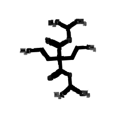 CCCC(CCC)(C(=O)OC(C)C)C(=O)OC(C)C